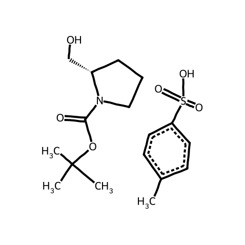 CC(C)(C)OC(=O)N1CCC[C@H]1CO.Cc1ccc(S(=O)(=O)O)cc1